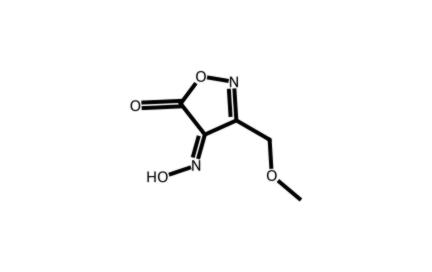 COCC1=NOC(=O)C1=NO